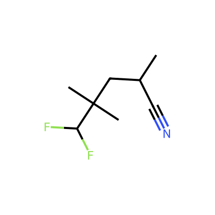 CC(C#N)CC(C)(C)C(F)F